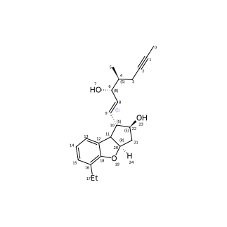 CC#CC[C@H](C)[C@@H](O)/C=C/[C@H]1C2c3cccc(CC)c3O[C@@H]2C[C@@H]1O